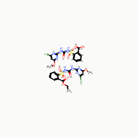 CCOC(=O)c1ccccc1S(=O)(=O)NC(=O)Nc1nc(Cl)cc(OC)n1.COc1cc(Cl)nc(NC(=O)NS(=O)(=O)c2ccccc2C(=O)O)n1